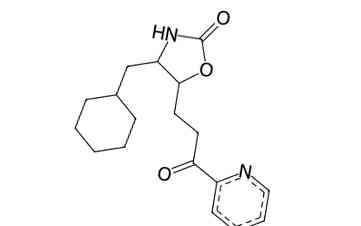 O=C1NC(CC2CCCCC2)C(CCC(=O)c2ccccn2)O1